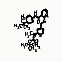 CN(C(=O)OC(C)(C)C)c1cc(CSc2ncccc2C(=O)Nc2ccc(C(C)(C)C)cc2)ccn1